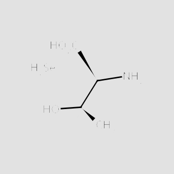 C[C@@H](O)[C@H](N)C(=O)O.[SeH2]